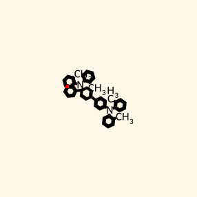 Cc1ccccc1N(c1ccc(C2=CCC(c3ccccc3)(N(c3ccccc3C)c3ccccc3C)C=C2)cc1)c1ccccc1C